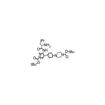 CC(C)CC(N)C(=O)Nc1nn(C(=O)OC(C)(C)C)cc1-c1ccc(N2CCN(C(=O)OC(C)(C)C)CC2)cc1